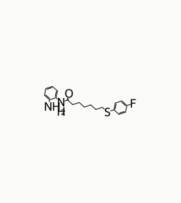 Nc1ccccc1NC(=O)CCCCCCSc1ccc(F)cc1